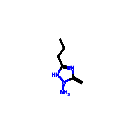 C=C1N=C(CCC)NN1N